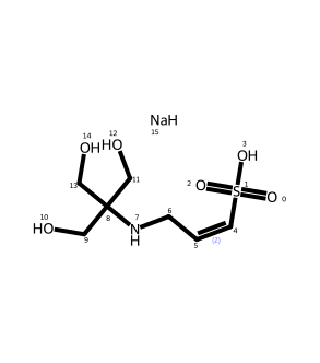 O=S(=O)(O)/C=C\CNC(CO)(CO)CO.[NaH]